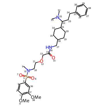 COc1ccc(S(=O)(=O)N(C)CCOCC(=O)NCC2CCC(C(CCc3ccccc3)N(C)C)CC2)cc1OC